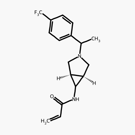 C=CC(=O)NC1[C@H]2CN(C(C)c3ccc(C(F)(F)F)cc3)C[C@@H]12